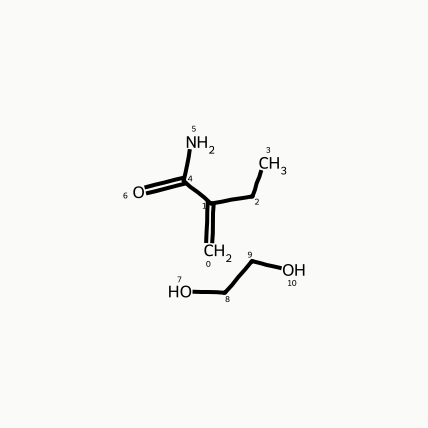 C=C(CC)C(N)=O.OCCO